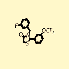 O=C1CSC(c2cccc(OC(F)(F)F)c2)N1Cc1cccc(F)c1